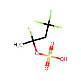 CC(F)(CC(F)(F)F)OS(=O)(=O)O